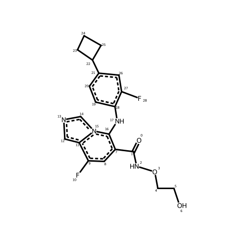 O=C(NOCCO)c1cc(F)c2cncn2c1Nc1ccc(C2CCC2)cc1F